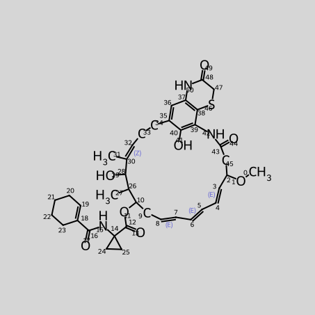 COC1/C=C/C=C/C=C/CC(OC(=O)C2(NC(=O)C3=CCCCC3)CC2)C(C)C(O)/C(C)=C\CCc2cc3c(c(c2O)NC(=O)C1)SCC(=O)N3